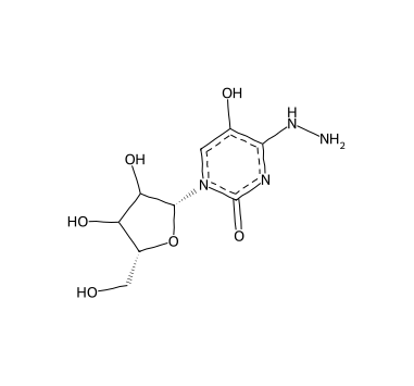 NNc1nc(=O)n([C@@H]2O[C@H](CO)C(O)C2O)cc1O